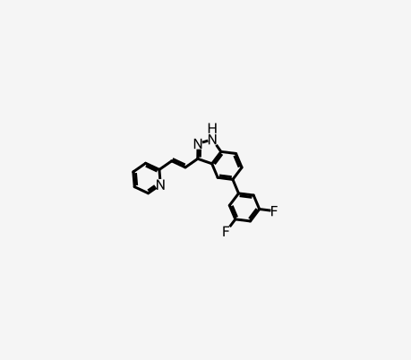 Fc1cc(F)cc(-c2ccc3[nH]nc(C=Cc4ccccn4)c3c2)c1